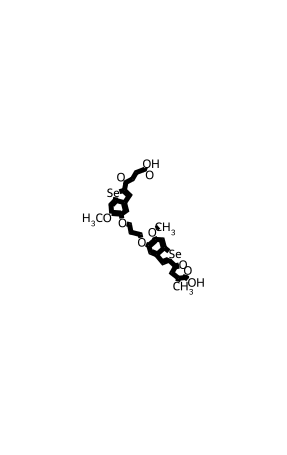 COc1cc2[se]c(C(=O)CCC(=O)O)cc2cc1OCCCOc1cc2cc(C(=O)CC(C)C(=O)O)[se]c2cc1OC